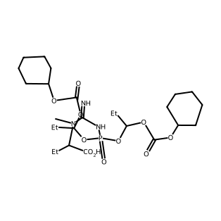 CCC(OC(=O)OC1CCCCC1)OP(=O)(NC(=N)N(C)C(CC)C(=O)O)OC(CC)OC(=O)OC1CCCCC1